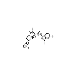 CC(NC(=O)[C@@H]1C[C@H]1c1c[nH]c2cc(F)ccc12)c1ccc(OCC(F)(F)F)cn1